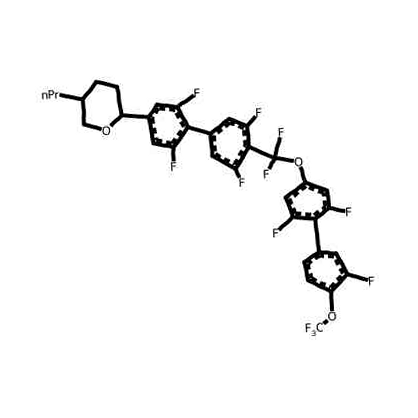 CCCC1CCC(c2cc(F)c(-c3cc(F)c(C(F)(F)Oc4cc(F)c(-c5ccc(OC(F)(F)F)c(F)c5)c(F)c4)c(F)c3)c(F)c2)OC1